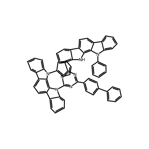 c1ccc(-c2ccc(-c3nc(-c4cccc5c4[nH]c4c5ccc5c6ccccc6n(-c6ccccc6)c54)nc(-n4c5ccccc5c5ccc6c7ccccc7n(-c7ccccc7)c6c54)n3)cc2)cc1